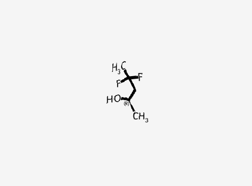 C[C@@H](O)CC(C)(F)F